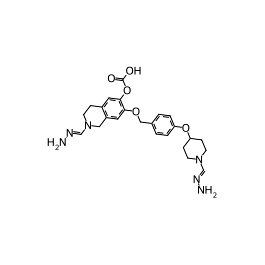 NN=CN1CCC(Oc2ccc(COc3cc4c(cc3OC(=O)O)CCN(C=NN)C4)cc2)CC1